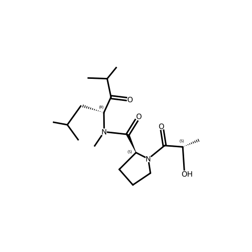 CC(C)C[C@H](C(=O)C(C)C)N(C)C(=O)[C@@H]1CCCN1C(=O)[C@H](C)O